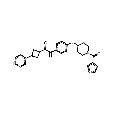 O=C(Nc1ccc(OC2CCN(C(=O)c3ccsc3)CC2)cc1)C1CN(c2ccnnc2)C1